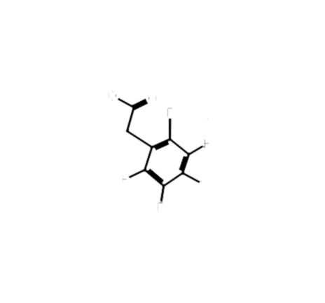 O=C([O-])Cc1c(F)c(F)c(F)c(F)c1F.[K+]